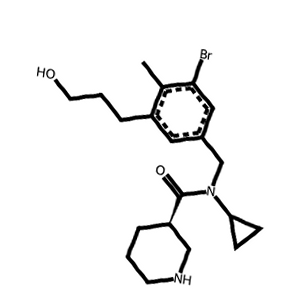 Cc1c(Br)cc(CN(C(=O)[C@@H]2CCCNC2)C2CC2)cc1CCCO